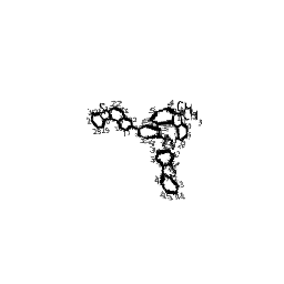 CC1(C)c2ccccc2-c2c(N(c3ccc(-c4ccc5c(ccc6sc7ccccc7c65)c4)cc3)c3ccc4c(c3)sc3ccccc34)cccc21